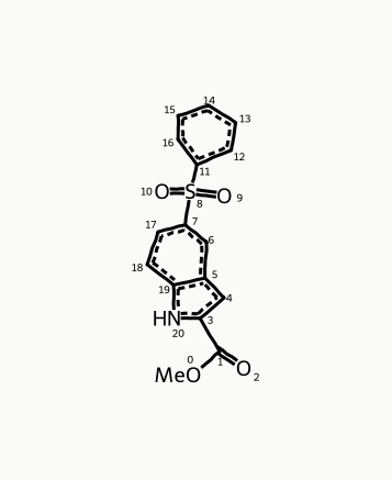 COC(=O)c1cc2cc(S(=O)(=O)c3ccccc3)ccc2[nH]1